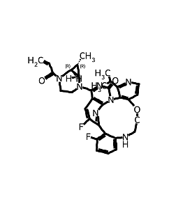 C=CC(=O)N1CCN(c2nc(=O)n3c4nc(c(F)cc24)-c2c(F)cccc2NCCOc2ccnc(C(C)C)c2-3)[C@H]2[C@@H](C)[C@H]21